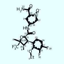 CCOc1c([C@H]2[C@@H](C)[C@@](C)(C(F)(F)F)O[C@H]2C(=O)Nc2cc[n+]([O-])c(C(N)=O)c2)ccc(F)c1F